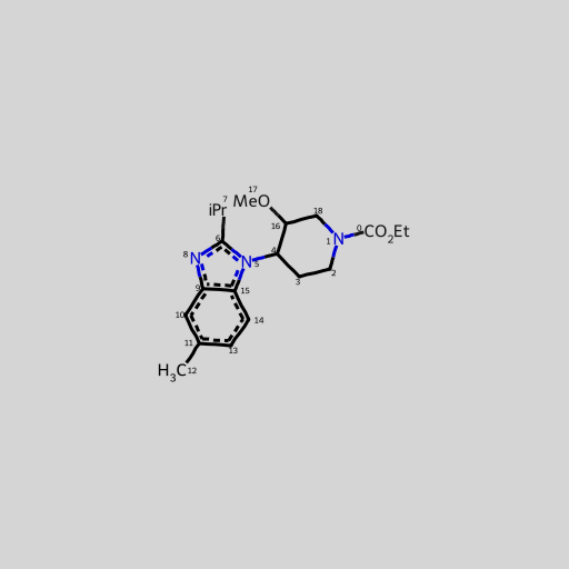 CCOC(=O)N1CCC(n2c(C(C)C)nc3cc(C)ccc32)C(OC)C1